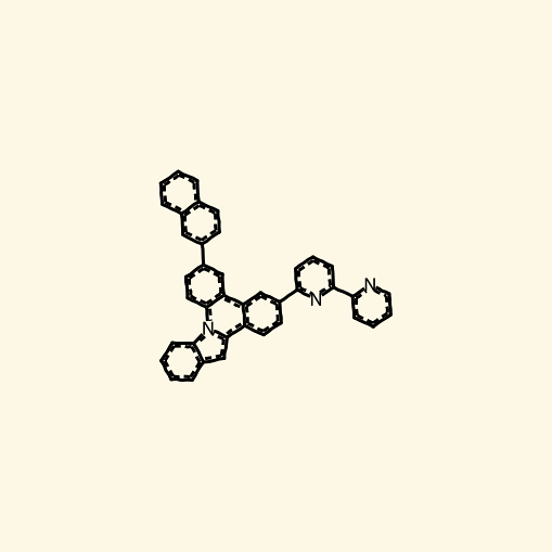 c1ccc(-c2cccc(-c3ccc4c(c3)c3cc(-c5ccc6ccccc6c5)ccc3n3c5ccccc5cc43)n2)nc1